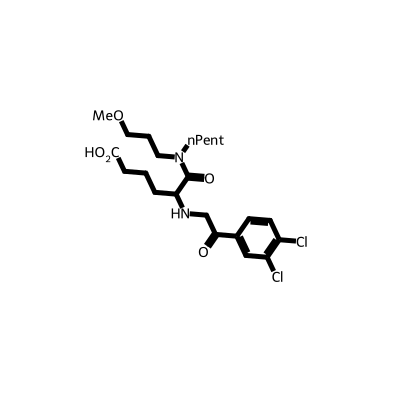 CCCCCN(CCCOC)C(=O)C(CCCC(=O)O)NCC(=O)c1ccc(Cl)c(Cl)c1